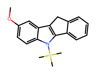 COc1ccc2c(c1)c1c(n2S(C)(C)C)-c2ccccc2C1